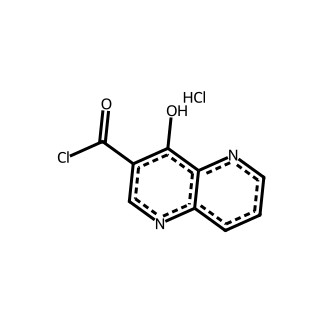 Cl.O=C(Cl)c1cnc2cccnc2c1O